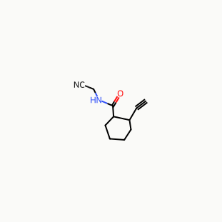 C#CC1CCCCC1C(=O)NCC#N